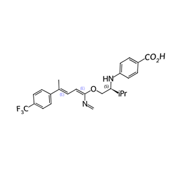 C=N/C(=C\C=C(/C)c1ccc(C(F)(F)F)cc1)OC[C@@H](Nc1ccc(C(=O)O)cc1)C(C)C